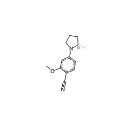 COc1cc(N2CCC[C@@H]2C)ccc1C#N